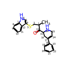 CC(CSc1c[nH]c2ccccc12)C(=O)C1CC(c2ccccc2)=CCN1